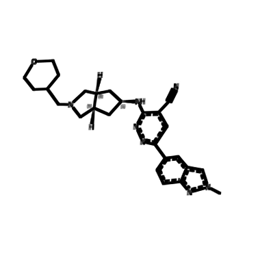 Cn1cc2cc(-c3cc(C#N)c(N[C@H]4C[C@@H]5CN(CC6CCOCC6)C[C@@H]5C4)nn3)ccc2n1